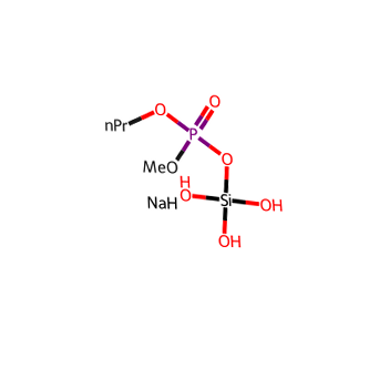 CCCOP(=O)(OC)O[Si](O)(O)O.[NaH]